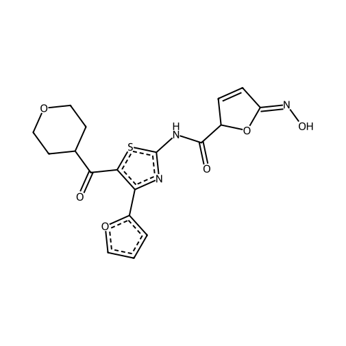 O=C(c1sc(NC(=O)C2C=CC(=NO)O2)nc1-c1ccco1)C1CCOCC1